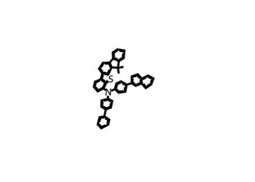 CC1(C)c2ccccc2-c2ccc3c(sc4c(N(c5ccc(-c6ccccc6)cc5)c5ccc(-c6ccc7ccccc7c6)cc5)cccc43)c21